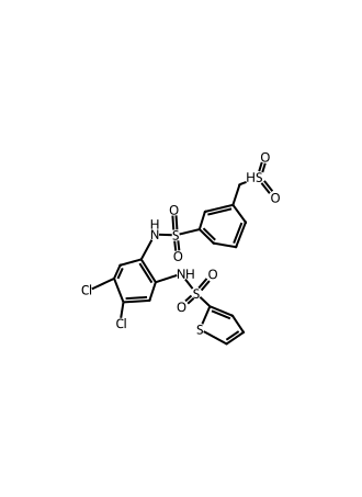 O=[SH](=O)Cc1cccc(S(=O)(=O)Nc2cc(Cl)c(Cl)cc2NS(=O)(=O)c2cccs2)c1